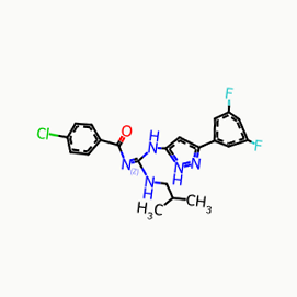 CC(C)CN/C(=N/C(=O)c1ccc(Cl)cc1)Nc1cc(-c2cc(F)cc(F)c2)n[nH]1